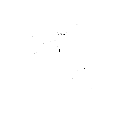 COc1ccc(COc2cc(OC)nc(-c3ccccc3)n2)cc1